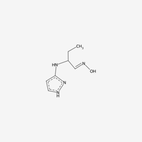 CCC(C=NO)Nc1cc[nH]n1